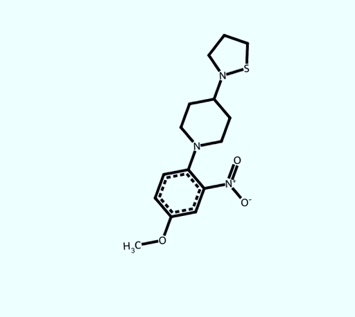 COc1ccc(N2CCC(N3CCCS3)CC2)c([N+](=O)[O-])c1